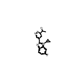 CC(=O)c1cc(-c2nc3ccc(F)cc3n2C2CC2)cnn1